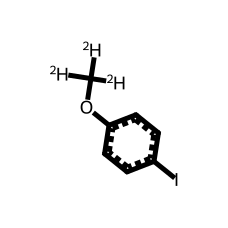 [2H]C([2H])([2H])Oc1ccc(I)cc1